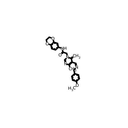 C=C1C(/C=N\Cc2ccc(OC)cc2)=C(C)N=CN1CC(=O)Nc1ccc2c(c1)OCCO2